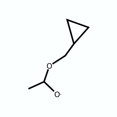 CC([O])OCC1CC1